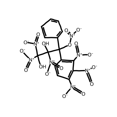 O=[N+]([O-])OC(c1ccccc1)(c1ccc([N+](=O)[O-])c([N+](=O)[O-])c1[N+](=O)[O-])C(O)([N+](=O)[O-])C(O)([N+](=O)[O-])[N+](=O)[O-]